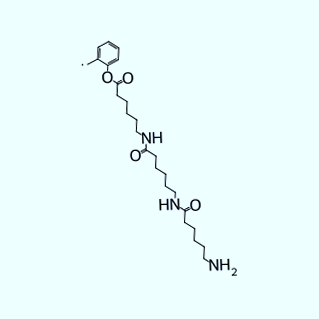 [CH2]c1ccccc1OC(=O)CCCCCNC(=O)CCCCCNC(=O)CCCCCN